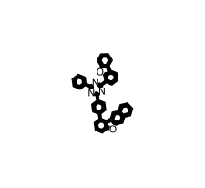 c1ccc(-c2nc(-c3ccc(-c4cccc5oc6cc7ccccc7cc6c45)cc3)nc(-c3cccc4c3oc3ccccc34)n2)cc1